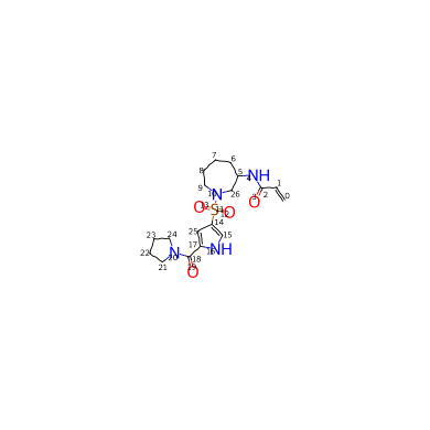 C=CC(=O)NC1CCCCN(S(=O)(=O)c2c[nH]c(C(=O)N3CCCC3)c2)C1